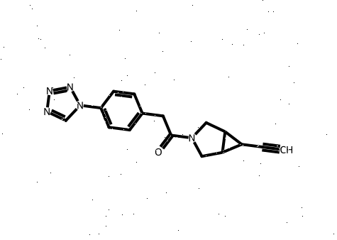 C#CC1C2CN(C(=O)Cc3ccc(-n4cnnn4)cc3)CC12